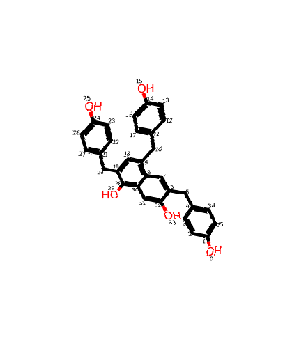 Oc1ccc(Cc2cc3c(Cc4ccc(O)cc4)cc(Cc4ccc(O)cc4)c(O)c3cc2O)cc1